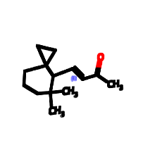 CC(=O)/C=C/C1C(C)(C)CCCC12CC2